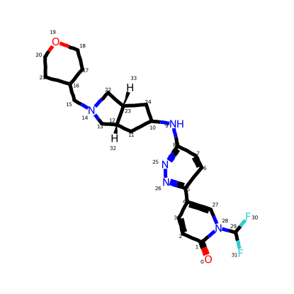 O=c1ccc(-c2ccc(NC3C[C@@H]4CN(CC5CCOCC5)C[C@@H]4C3)nn2)cn1C(F)F